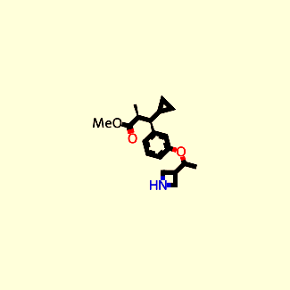 COC(=O)[C@@H](C)[C@H](c1cccc(OC(C)C2CNC2)c1)C1CC1